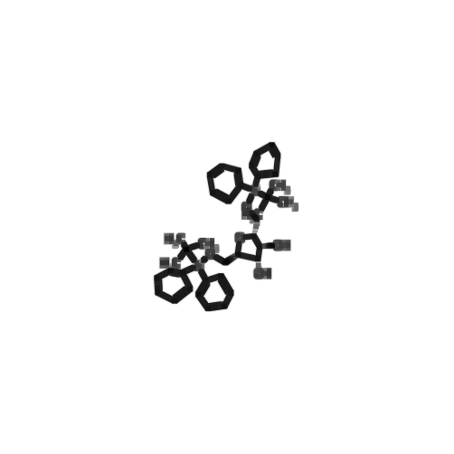 CC(C)(C)[Si](OC[C@H]1O[C@H](CO[Si](c2ccccc2)(c2ccccc2)C(C)(C)C)[C@@H](O)[C@@H]1O)(c1ccccc1)c1ccccc1